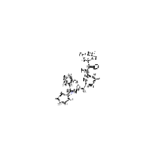 CCOC(SCC)C(=O)Nc1cccc(CO/N=C(/c2ccccc2)c2nnnn2C)n1